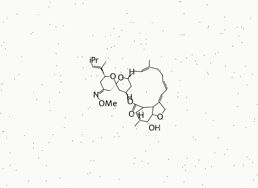 CO/N=C1/C[C@@H](/C(C)=C/C(C)C)O[C@]2(C1)C[C@@H]1C[C@@H](C/C=C(\C)CC/C=C/C=C3\COC4C3[C@@H](C=C(C)[C@H]4O)C(=O)O1)O2